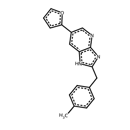 Cc1ccc(Cc2nc3ncc(-c4ccco4)cc3[nH]2)cc1